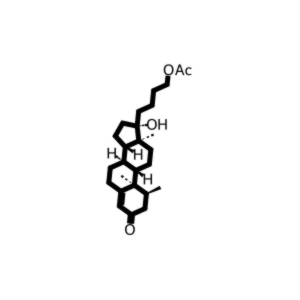 CC(=O)OCCCC[C@]1(O)CC[C@H]2[C@@H]3CCC4=CC(=O)C[C@H](C)[C@]4(C)[C@H]3CC[C@@]21C